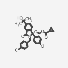 CC(C)(O)c1ccc2c(c1)C(=O)N(Cc1ccc(Cl)cc1)[C@@]2(OCOC(=O)C1CC1)c1ccc(Cl)cc1